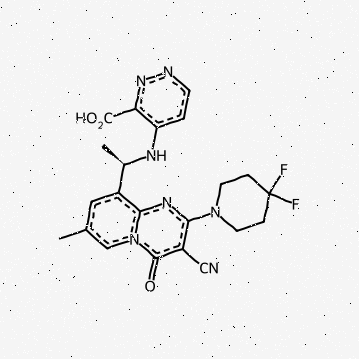 Cc1cc([C@@H](C)Nc2ccnnc2C(=O)O)c2nc(N3CCC(F)(F)CC3)c(C#N)c(=O)n2c1